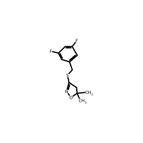 CC1(C)CC(SCc2cc(F)cc(F)c2)=NO1